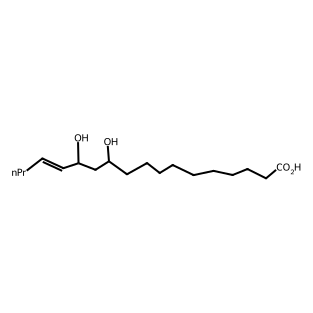 CCC/C=C/C(O)CC(O)CCCCCCCCCC(=O)O